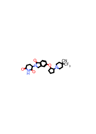 N#CC1(C(F)(F)F)CCN(C2CCCC2Oc2ccc3c(c2)CN(C2CCC(=O)NC2=O)C3=O)CC1